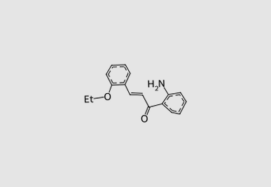 CCOc1ccccc1C=CC(=O)c1ccccc1N